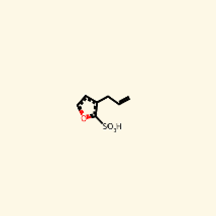 C=CCc1ccoc1S(=O)(=O)O